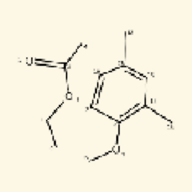 CCOC(C)=O.COc1ccc(C)cc1C